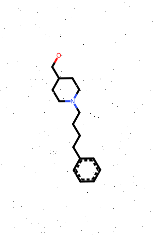 [O]CC1CCN(CCCCc2ccccc2)CC1